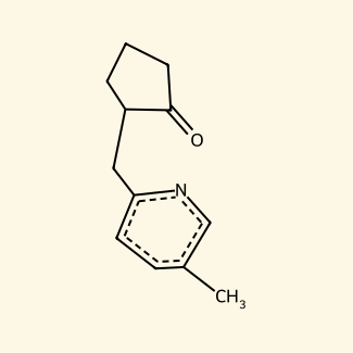 Cc1ccc(CC2CCCC2=O)nc1